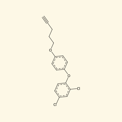 C#CCCCOc1ccc(Oc2ccc(Cl)cc2Cl)cc1